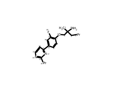 CC(C)CC(C)(N)COc1ccc(-c2ccnc(C(C)C)n2)cc1F